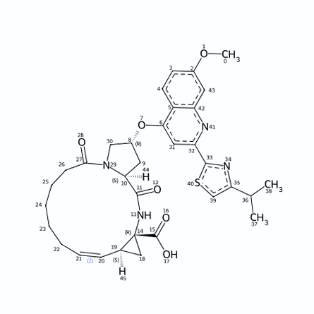 COc1ccc2c(O[C@@H]3C[C@H]4C(=O)N[C@]5(C(=O)O)C[C@H]5/C=C\CCCCCC(=O)N4C3)cc(-c3nc(C(C)C)cs3)nc2c1